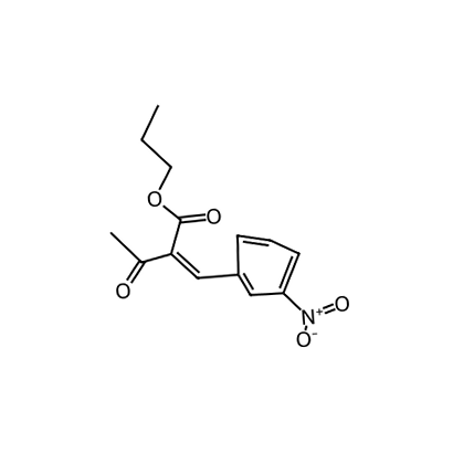 CCCOC(=O)C(=Cc1cccc([N+](=O)[O-])c1)C(C)=O